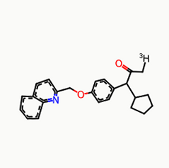 [3H]CC(=O)C(c1ccc(OCc2ccc3ccccc3n2)cc1)C1CCCC1